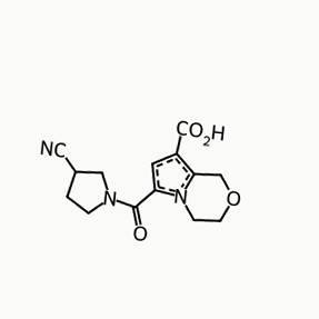 N#CC1CCN(C(=O)c2cc(C(=O)O)c3n2CCOC3)C1